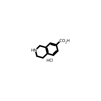 Cl.O=C(O)c1ccc2c(c1)CNCC2